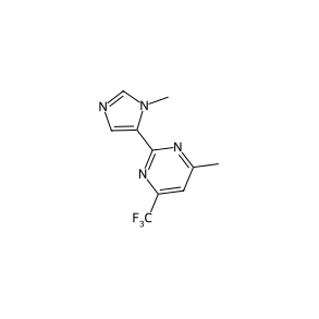 Cc1cc(C(F)(F)F)nc(-c2cncn2C)n1